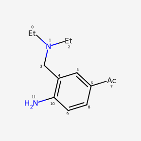 CCN(CC)Cc1cc(C(C)=O)ccc1N